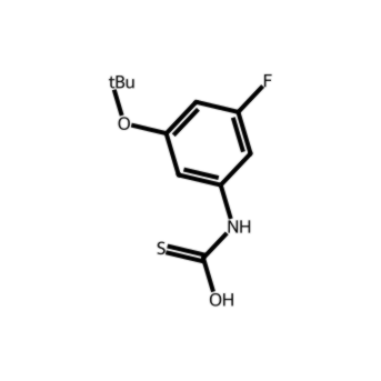 CC(C)(C)Oc1cc(F)cc(NC(O)=S)c1